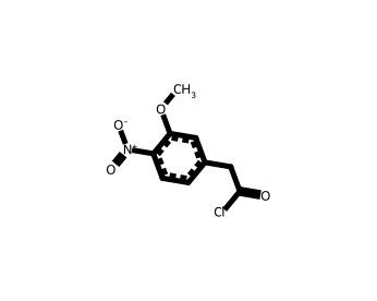 COc1cc(CC(=O)Cl)ccc1[N+](=O)[O-]